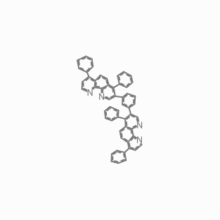 c1ccc(-c2ccnc3c2ccc2c(-c4ccccc4)c(-c4cccc(-c5cnc6c(ccc7c(-c8ccccc8)ccnc76)c5-c5ccccc5)c4)cnc23)cc1